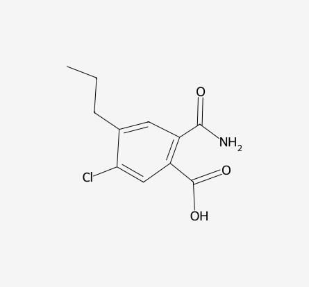 CCCc1cc(C(N)=O)c(C(=O)O)cc1Cl